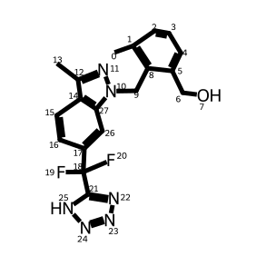 Cc1cccc(CO)c1Cn1nc(C)c2ccc(C(F)(F)c3nnn[nH]3)cc21